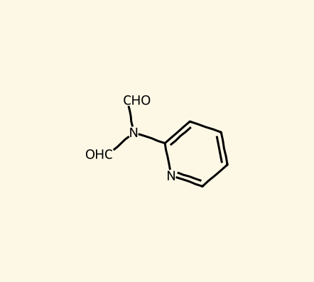 O=CN(C=O)c1ccccn1